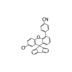 N#Cc1ccc(-c2cccc3c2Oc2ccc(Cl)cc2C32c3ccccc3-c3ccccc32)cc1